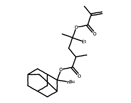 C=C(C)C(=O)OC(C)(CC)CC(C)C(=O)OC1(CCCC)C2CC3CC(C2)CC1C3